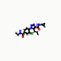 CCCc1c(C(=O)NC2CC2)nnn1-c1ccc(C(=O)NCC)cc1Cl